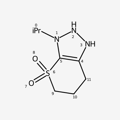 CC(C)N1NNC2=C1S(=O)(=O)CCC2